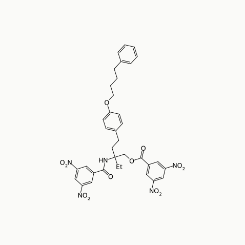 CCC(CCc1ccc(OCCCCc2ccccc2)cc1)(COC(=O)c1cc([N+](=O)[O-])cc([N+](=O)[O-])c1)NC(=O)c1cc([N+](=O)[O-])cc([N+](=O)[O-])c1